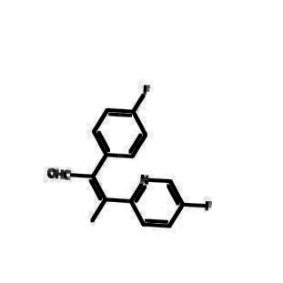 CC(=C(C=O)c1ccc(F)cc1)c1ccc(F)cn1